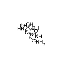 NC1=CCN([C@@H]2O[C@H](NO)[C@@H](O)[C@H]2O)C(=O)N1